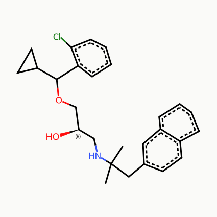 CC(C)(Cc1ccc2ccccc2c1)NC[C@@H](O)COC(c1ccccc1Cl)C1CC1